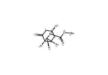 CC(=O)[C@@H]1[C@@H]2CC[C@@H](CC2=O)N1C(=O)OC(C)(C)C